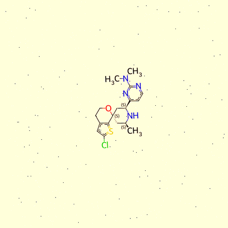 C[C@H]1C[C@@]2(C[C@@H](c3ccnc(N(C)C)n3)N1)OCCc1cc(Cl)sc12